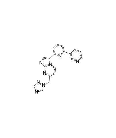 c1cncc(-c2cccc(-c3cnc4nc(Cn5cncn5)ccn34)n2)c1